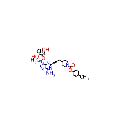 Cc1ccc(OC(=O)N2CCC(CC#Cc3nc(N)c4ncn([C@@H](C)O[C@H](CO)C(C)O)c4n3)CC2)cc1